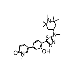 CN(c1nnc(-c2ccc(-c3ccc(=O)n(C)c3)cc2O)s1)C1CC(C)(C)N(I)C(C)(C)C1